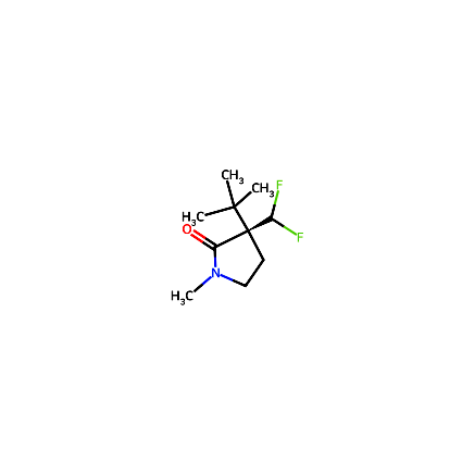 CN1CC[C@@](C(F)F)(C(C)(C)C)C1=O